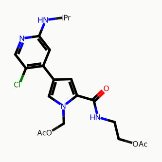 CC(=O)OCCNC(=O)c1cc(-c2cc(NC(C)C)ncc2Cl)cn1COC(C)=O